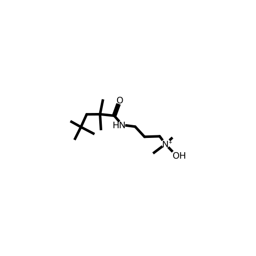 CC(C)(C)CC(C)(C)C(=O)NCCC[N+](C)(C)O